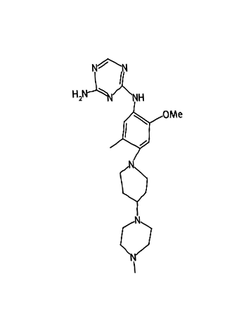 COc1cc(N2CCC(N3CCN(C)CC3)CC2)c(C)cc1Nc1ncnc(N)n1